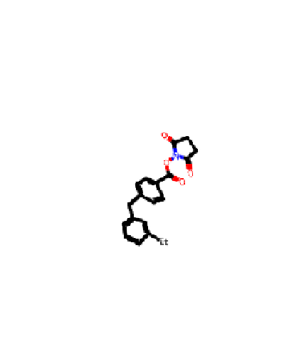 CCc1cccc(Cc2ccc(C(=O)ON3C(=O)CCC3=O)cc2)c1